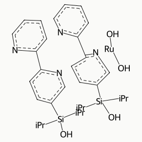 CC(C)[Si](O)(c1ccc(-c2ccccn2)nc1)C(C)C.CC(C)[Si](O)(c1ccc(-c2ccccn2)nc1)C(C)C.[OH][Ru][OH]